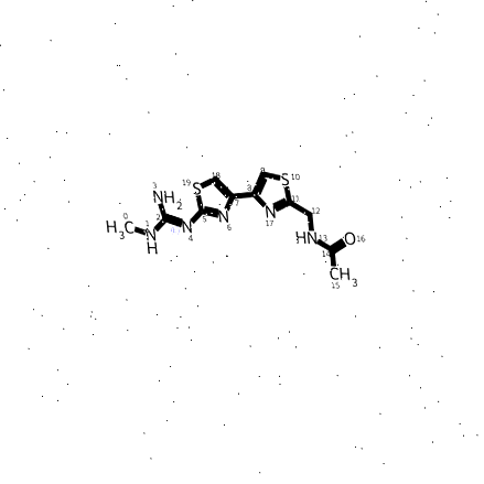 CN/C(N)=N/c1nc(-c2csc(CNC(C)=O)n2)cs1